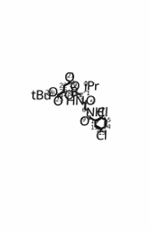 CC(C)C[C@H](NC(=O)CNC(=O)c1cc(Cl)ccc1Cl)B1OC(=O)CC(C(=O)OC(C)(C)C)O1